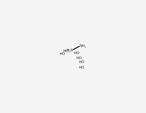 Cl.Cl.Cl.Cl.Cl.Cl.[SiH3][SiH3]